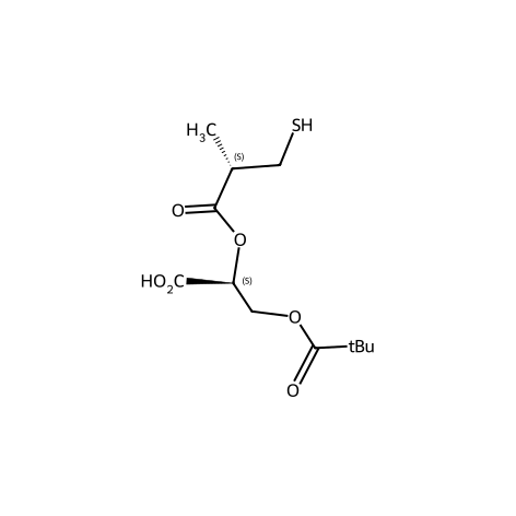 C[C@H](CS)C(=O)O[C@@H](COC(=O)C(C)(C)C)C(=O)O